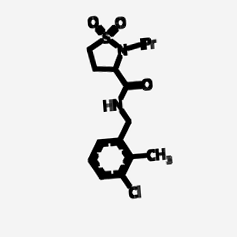 Cc1c(Cl)cccc1CNC(=O)C1CCS(=O)(=O)N1C(C)C